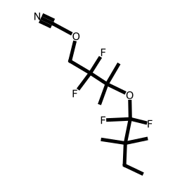 CCC(C)(C)C(F)(F)OC(C)(C)C(F)(F)COC#N